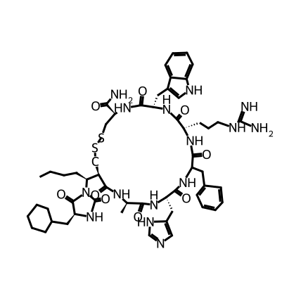 CCCC[C@@H]([C@H]1CSSC[C@@H](C(N)=O)NC(=O)[C@H](Cc2c[nH]c3ccccc23)NC(=O)[C@H](CCCNC(=N)N)NC(=O)C(Cc2ccccc2)NC(=O)[C@H](Cc2cnc[nH]2)NC(=O)[C@@H](C)NC1=O)N1C(=O)N[C@@H](CC2CCCCC2)C1=O